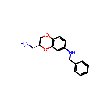 NC[C@@H]1COc2ccc(NCc3ccccc3)cc2O1